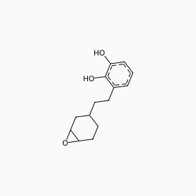 Oc1cccc(CCC2CCC3OC3C2)c1O